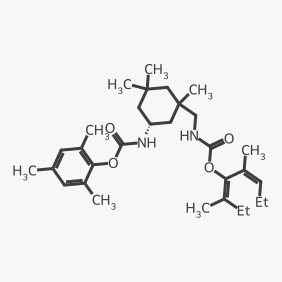 CC/C=C(C)\C(OC(=O)NCC1(C)C[C@H](NC(=O)Oc2c(C)cc(C)cc2C)CC(C)(C)C1)=C(\C)CC